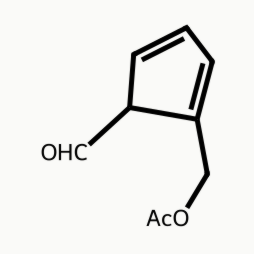 CC(=O)OCC1=CC=CC1C=O